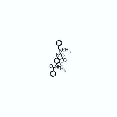 Cc1c(NC(=O)c2ccccc2)ccc2nc(N(C)Cc3ccccc3)oc(=O)c12